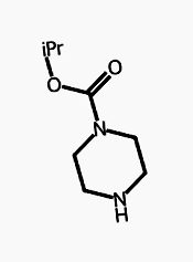 CC(C)OC(=O)N1CCNCC1